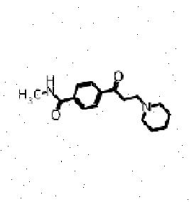 CNC(=O)c1ccc(C(=O)CCN2CCCCC2)cc1